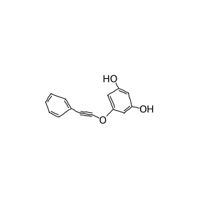 Oc1cc(O)cc(OC#Cc2ccccc2)c1